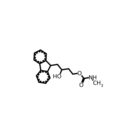 CNC(=O)OCCC(O)CC1c2ccccc2-c2ccccc21